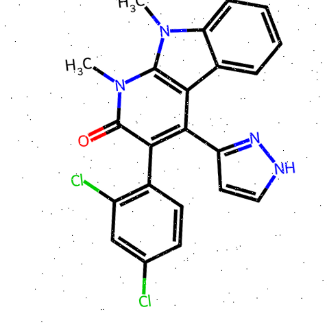 Cn1c(=O)c(-c2ccc(Cl)cc2Cl)c(-c2cc[nH]n2)c2c3ccccc3n(C)c21